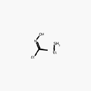 CCC(C)=NO.CC[SiH3]